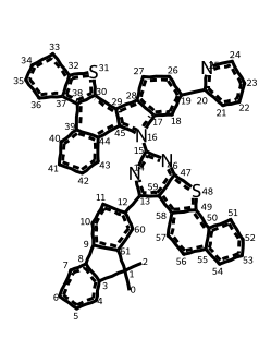 CC1(C)c2ccccc2-c2ccc(-c3nc(-n4c5cc(-c6ccccn6)ccc5c5c6sc7ccccc7c6c6ccccc6c54)nc4sc5c6ccccc6ccc5c34)cc21